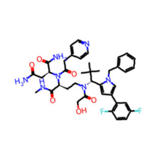 CNC(=O)[C@H](CCN(C(=O)CO)[C@@H](c1cc(-c2cc(F)ccc2F)cn1Cc1ccccc1)C(C)(C)C)N(C(=O)Cc1ccncc1)[C@@H](CC(N)=O)C(N)=O